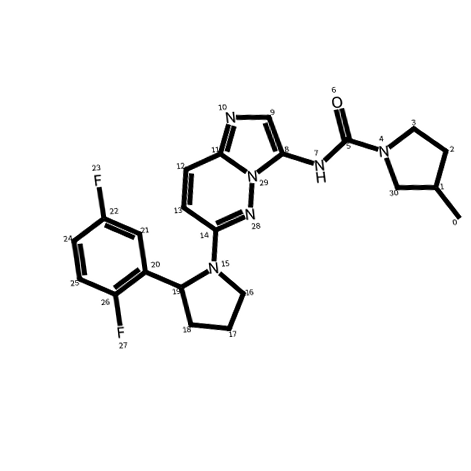 CC1CCN(C(=O)Nc2cnc3ccc(N4CCCC4c4cc(F)ccc4F)nn23)C1